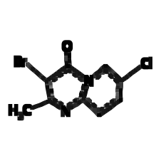 Cc1nc2ccc(Cl)cn2c(=O)c1Br